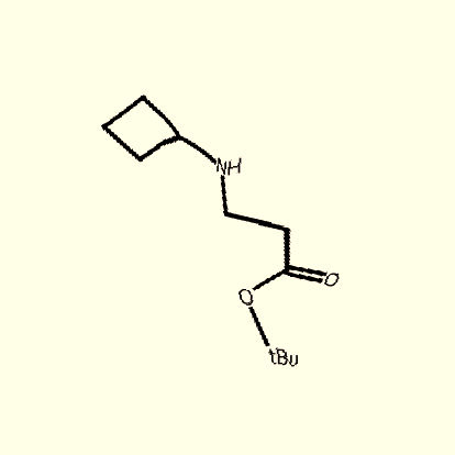 CC(C)(C)OC(=O)CCNC1CCC1